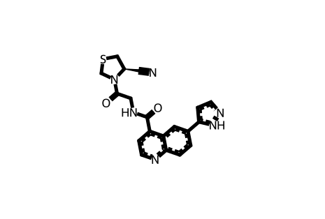 N#C[C@@H]1CSCN1C(=O)CNC(=O)c1ccnc2ccc(-c3ccn[nH]3)cc12